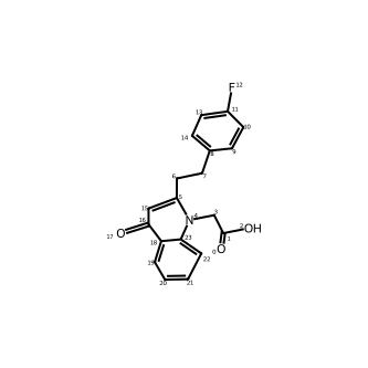 O=C(O)Cn1c(CCc2ccc(F)cc2)cc(=O)c2ccccc21